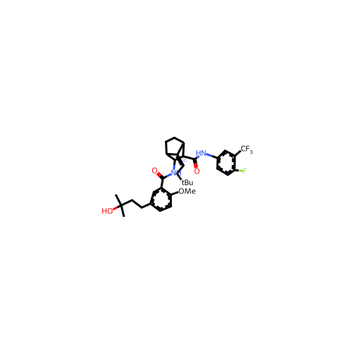 COc1ccc(CCC(C)(C)O)cc1C(=O)NC1C2CCC(/C2=C/CC(C)(C)C)C1C(=O)Nc1ccc(F)c(C(F)(F)F)c1